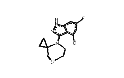 Fc1cc(Cl)c2c(N3CCOCC34CC4)n[nH]c2c1